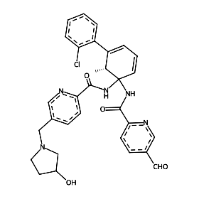 C[C@@H]1C(c2ccccc2Cl)=CC=CC1(NC(=O)c1ccc(C=O)cn1)NC(=O)c1ccc(CN2CCC(O)C2)cn1